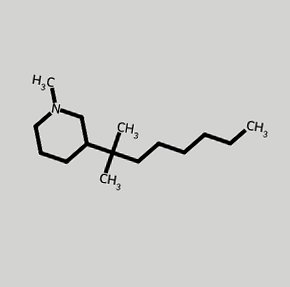 CCCCCCC(C)(C)C1CCCN(C)C1